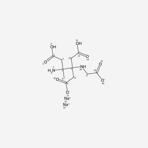 CC(N)(CC(=O)O)C(CC(=O)[O-])(CC(=O)O)NCC(=O)[O-].[Na+].[Na+]